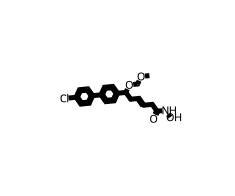 COCOC(C/C=C/CC(=O)NO)c1ccc(-c2ccc(Cl)cc2)cc1